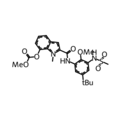 COC(=O)Oc1cccc2cc(C(=O)Nc3cc(C(C)(C)C)cc(NS(C)(=O)=O)c3OC)n(C)c12